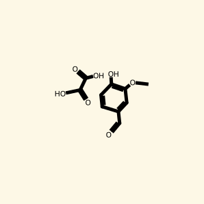 COc1cc(C=O)ccc1O.O=C(O)C(=O)O